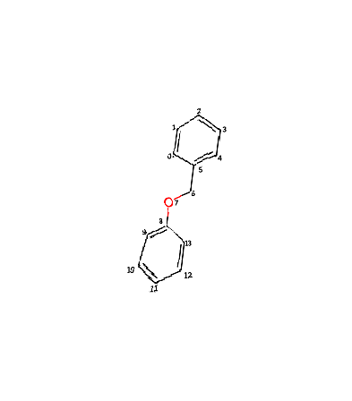 [c]1ccccc1COc1ccccc1